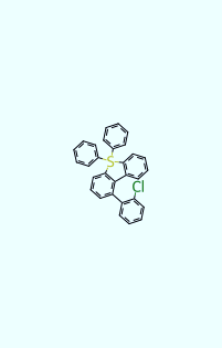 Clc1ccccc1-c1cccc2c1-c1ccccc1S2(c1ccccc1)c1ccccc1